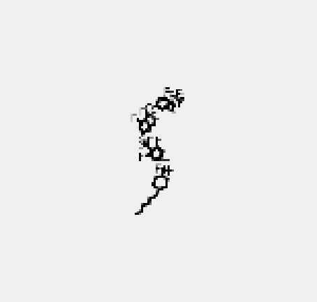 CCCCCCC1CCC(C(F)(F)Oc2cc(F)c(C(F)(F)Oc3cc(F)c(C(F)(F)Oc4cc(F)c(S(F)(F)(F)(F)F)c(F)c4)c(F)c3)c(F)c2)CC1